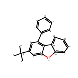 CC(C)(C)c1cc(-c2ccccc2)c2c(c1)oc1ccccc12